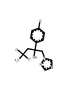 OC(Cn1cncn1)(CC(Cl)(Cl)C(F)(F)F)c1ccc(Cl)cc1